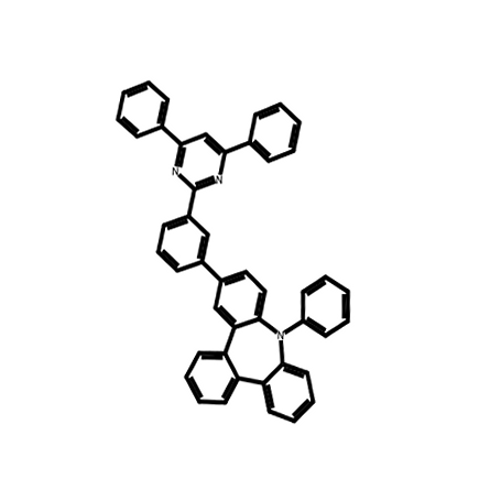 c1ccc(-c2cc(-c3ccccc3)nc(-c3cccc(-c4ccc5c(c4)-c4ccccc4-c4ccccc4N5c4ccccc4)c3)n2)cc1